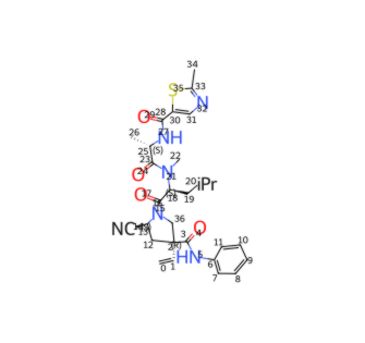 C=C[C@]1(C(=O)Nc2ccccc2)C[C@@H](C#N)N(C(=O)[C@H](CC(C)C)N(C)C(=O)[C@H](C)NC(=O)c2cnc(C)s2)C1